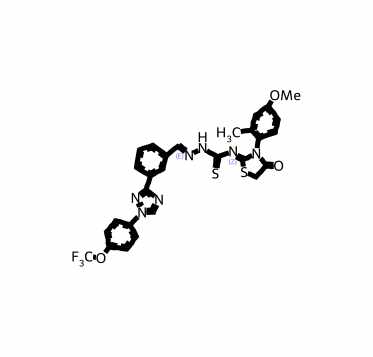 COc1ccc(N2C(=O)CS/C2=N\C(=S)N/N=C/c2cccc(-c3ncn(-c4ccc(OC(F)(F)F)cc4)n3)c2)c(C)c1